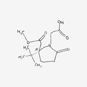 COC(=O)[C@]1(C(C)(C)C)CCC(=O)N1CC(=O)O